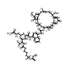 C=C(CBr)OC(C)(C)CCCCC(=O)N[C@H](C(=O)N[C@@H](CCCNC(N)=O)C(=O)Nc1ccc(NC(=O)O[C@H]2CC(=O)N(C)c3cc(cc(OC)c3Cl)C/C(C)=C/C=C/[C@@H](OC)[C@@]3(O)C[C@H](OC(=O)N3)[C@@H](C)[C@@H]3O[C@@]23C)c2cccnc12)C(C)C